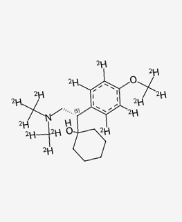 [2H]c1c([2H])c([C@@H](CN(C([2H])([2H])[2H])C([2H])([2H])[2H])C2(O)CCCCC2)c([2H])c([2H])c1OC([2H])([2H])[2H]